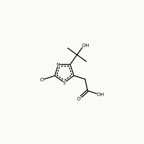 CC(C)(O)c1nc(Cl)sc1CC(=O)O